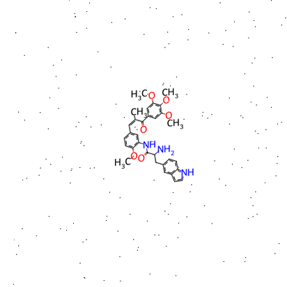 COc1ccc(C=C(C)C(=O)c2cc(OC)c(OC)c(OC)c2)cc1NC(=O)C(N)Cc1ccc2[nH]ccc2c1